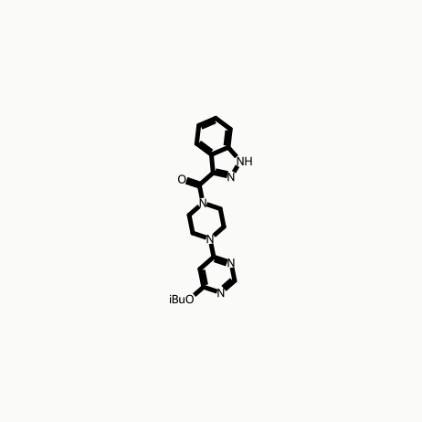 CC(C)COc1cc(N2CCN(C(=O)c3n[nH]c4ccccc34)CC2)ncn1